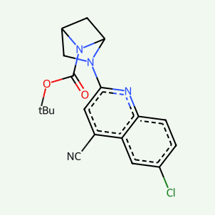 CC(C)(C)OC(=O)N1C2CC1N(c1cc(C#N)c3cc(Cl)ccc3n1)C2